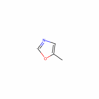 Cc1cn[c]o1